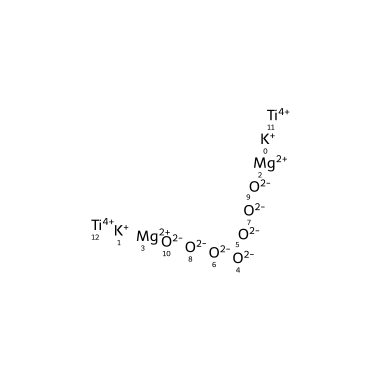 [K+].[K+].[Mg+2].[Mg+2].[O-2].[O-2].[O-2].[O-2].[O-2].[O-2].[O-2].[Ti+4].[Ti+4]